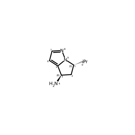 CC(C)[C@@H]1C[C@@H](N)c2ccnn21